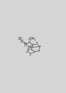 CC(N=C=O)C12CC3CC(CC(C3)C1)C2